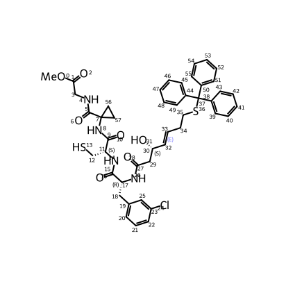 COC(=O)CNC(=O)C1(NC(=O)[C@@H](CS)NC(=O)[C@@H](Cc2cccc(Cl)c2)NC(=O)C[C@H](O)/C=C/CCSC(c2ccccc2)(c2ccccc2)c2ccccc2)CC1